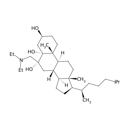 CCN(CC)C[C@]1(O)C[C@H]2[C@@H]3CC[C@H]([C@H](C)CCCC(C)C)[C@@]3(C)CC[C@@H]2[C@@]2(C)CC[C@H](O)C[C@]12O